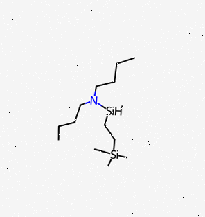 CCCCN(CCCC)[SiH](C)CC[Si](C)(C)C